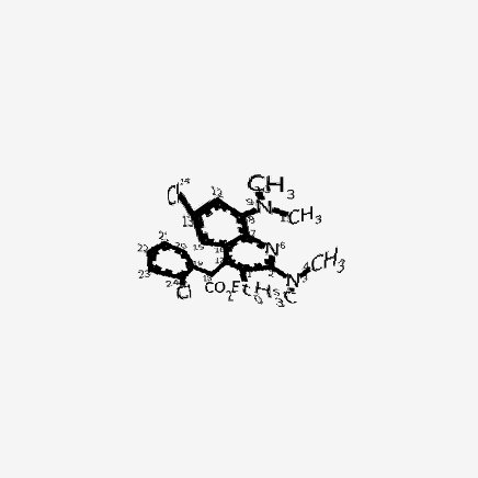 CCOC(=O)c1c(N(C)C)nc2c(N(C)C)cc(Cl)cc2c1Cc1ccccc1Cl